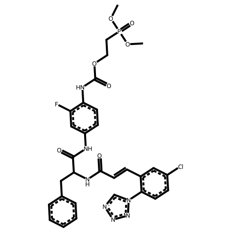 COP(=O)(CCOC(=O)Nc1ccc(NC(=O)C(Cc2ccccc2)NC(=O)C=Cc2cc(Cl)ccc2-n2cnnn2)cc1F)OC